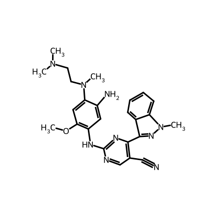 COc1cc(N(C)CCN(C)C)c(N)cc1Nc1ncc(C#N)c(-c2nn(C)c3ccccc23)n1